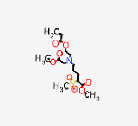 C=CC(=O)OCCN(/C=C/C=C(/C(=O)OC)S(C)(=O)=O)CC(=O)OC